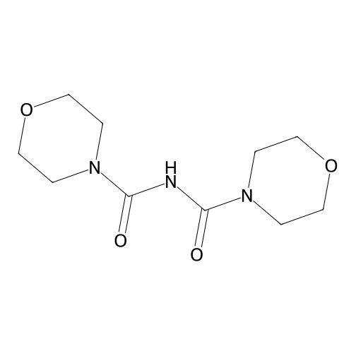 O=C(NC(=O)N1CCOCC1)N1CCOCC1